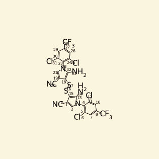 N#Cc1cn(-c2c(Cl)cc(C(F)(F)F)cc2Cl)c(N)c1SSc1c(C#N)cn(-c2c(Cl)cc(C(F)(F)F)cc2Cl)c1N